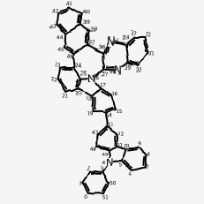 c1ccc(-n2c3ccccc3c3cc(-c4ccc5c(c4)c4cccc6c4n5-c4nc5ccccc5nc4-c4cc5ccccc5cc4-6)ccc32)cc1